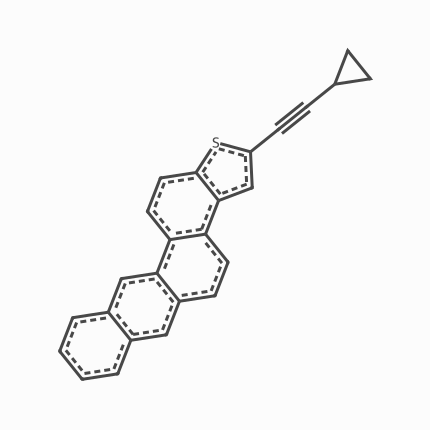 C(#CC1CC1)c1cc2c(ccc3c4cc5ccccc5cc4ccc23)s1